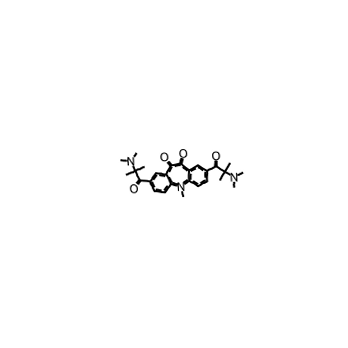 CN(C)C(C)(C)C(=O)c1ccc2c(c1)c(=O)c(=O)c1cc(C(=O)C(C)(C)N(C)C)ccc1n2C